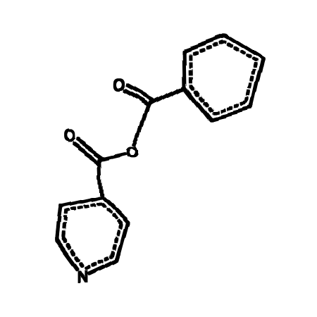 O=C(OC(=O)c1ccncc1)c1ccccc1